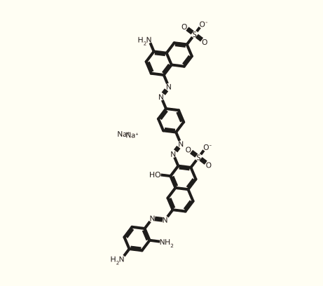 Nc1ccc(N=Nc2ccc3cc(S(=O)(=O)[O-])c(N=Nc4ccc(N=Nc5ccc(N)c6cc(S(=O)(=O)[O-])ccc56)cc4)c(O)c3c2)c(N)c1.[Na+].[Na+]